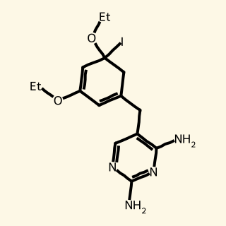 CCOC1=CC(I)(OCC)CC(Cc2cnc(N)nc2N)=C1